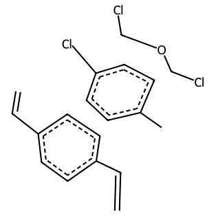 C=Cc1ccc(C=C)cc1.Cc1ccc(Cl)cc1.ClCOCCl